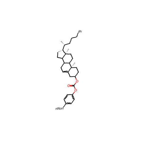 CCCCCCCCCc1ccc(OC(=O)OC2CC[C@@]3(C)C(=CCC4C3CC[C@@]3(C)C4CC[C@@H]3[C@H](C)CCCC(C)C)C2)cc1